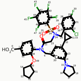 O=C(O)c1ccc(N(Cc2cc(C3CC3)cc(N3CCCC3)c2)C(=O)CN(Cc2ccc(F)cc2Cl)S(=O)(=O)c2c(F)c(F)c(F)c(F)c2F)c(OC2CCCC2)c1